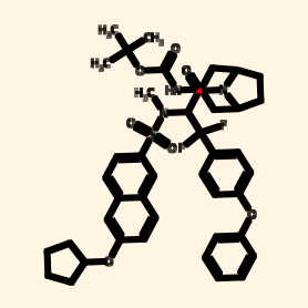 CN(C(C(=O)N1C2CCC1CC(NC(=O)OC(C)(C)C)C2)C(F)(F)c1ccc(Oc2ccccc2)cc1)S(=O)(=O)c1ccc2cc(OC3CCCC3)ccc2c1